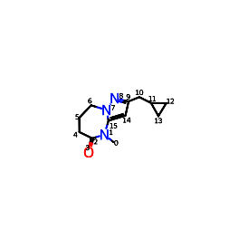 CN1C(=O)CCCn2nc(CC3CC3)cc21